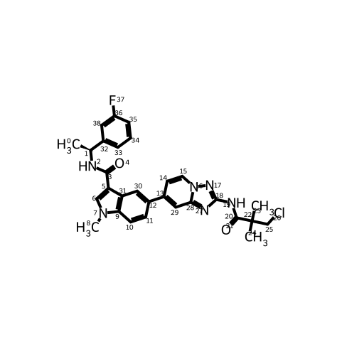 C[C@H](NC(=O)c1cn(C)c2ccc(-c3ccn4nc(NC(=O)C(C)(C)CCl)nc4c3)cc12)c1cccc(F)c1